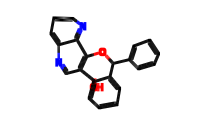 OCc1cnc2cccnc2c1OC(c1ccccc1)c1ccccc1